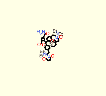 CCN(CC)C(Cc1ccc2c(c1)[Si]1(CCCCC1)c1cc(CC(N(CC)CC)N3C(=O)C=CC3=O)ccc1C21OC(=O)c2ccc(C(N)=O)cc21)N1C(=O)C=CC1=O